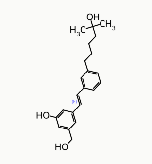 CC(C)(O)CCCCc1cccc(/C=C/c2cc(O)cc(CO)c2)c1